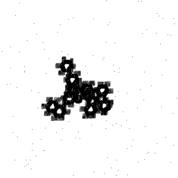 c1ccc(-c2ccc(N(c3ccc(-c4cccc5c4C4(c6ccccc6-5)c5ccccc5-c5c4ccc4c5oc5ccccc54)cc3)c3ccc(-c4cccc5ccccc45)cc3)cc2)cc1